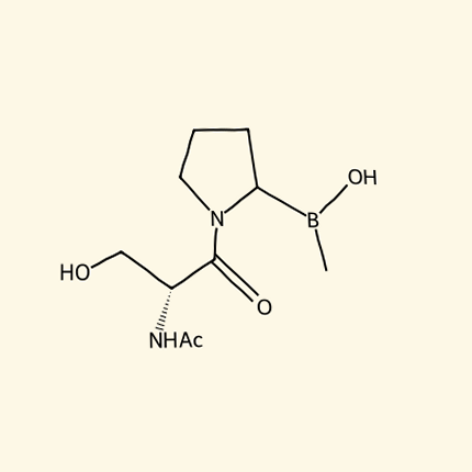 CB(O)C1CCCN1C(=O)[C@@H](CO)NC(C)=O